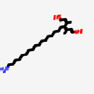 CC(CCO)C(CCCCCCCC=CCCCCCCCCN)C(C)CCO